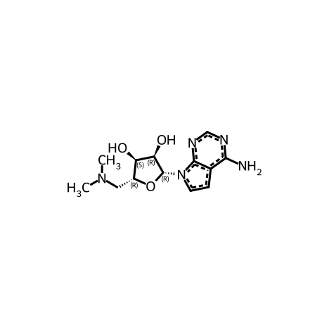 CN(C)C[C@H]1O[C@@H](n2ccc3c(N)ncnc32)[C@H](O)[C@@H]1O